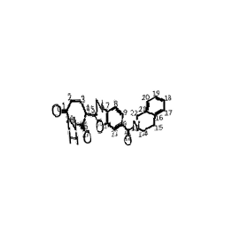 O=C1CCC(c2nc3ccc(C(=O)N4CCc5ccccc5C4)cc3o2)C(=O)N1